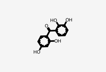 O=C(c1ccc(O)cc1O)c1cccc(O)c1O